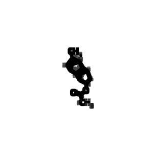 CC(=O)OC1CC2CC1C1C3CC(C21)[C@H](C)C3